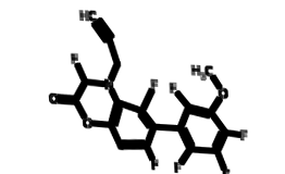 C#CCN1c2c(cc(F)c(-c3c(F)c(F)c(F)c(OC)c3F)c2F)OC(=O)C1F